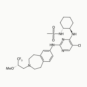 CO[C@@H](CN1CCc2ccc(Nc3ncc(Cl)c(N[C@@H]4CCCC[C@H]4NS(C)(=O)=O)n3)cc2CC1)C(F)(F)F